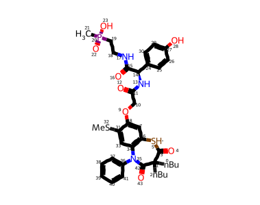 CCCCC1(CCCC)C(=O)[SH]c2cc(OCC(=O)N[C@@H](C(=O)NCCP(C)(=O)O)c3ccc(O)cc3)c(SC)cc2N(c2ccccc2)C1=O